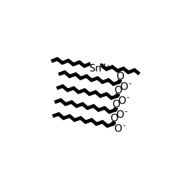 CCCCCCCCCCCC(=O)[O-].CCCCCCCCCCCC(=O)[O-].CCCCCCCCCCCC(=O)[O-].CCCCCCCCCCCC(=O)[O-].CCCCCCC[CH2][Sn+4][CH2]CCCCCCC